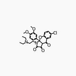 CCN(CC)CCN1C(=O)C(=O)C2C(=O)c3cc(Cl)ccc3OC21c1ccc(OC)c(OC)c1